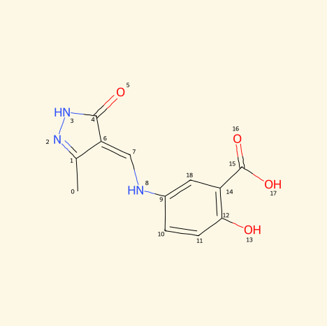 CC1=NNC(=O)/C1=C/Nc1ccc(O)c(C(=O)O)c1